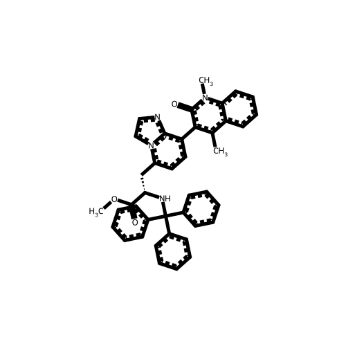 COC(=O)[C@H](Cc1ccc(-c2c(C)c3ccccc3n(C)c2=O)c2nccn12)NC(c1ccccc1)(c1ccccc1)c1ccccc1